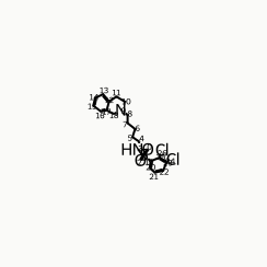 O=S(=O)(NCCCCCN1CCc2ccccc2C1)c1cccc(Cl)c1Cl